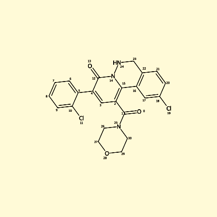 O=C(c1cc(-c2ccccc2Cl)c(=O)n2c1-c1cc(Cl)ccc1CN2)N1CCOCC1